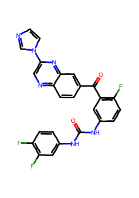 O=C(Nc1ccc(F)c(F)c1)Nc1ccc(F)c(C(=O)c2ccc3ncc(-n4ccnc4)nc3c2)c1